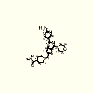 CN(C)C(=O)C1CCN(Cc2cc3nc(-c4cnc(N)nc4)nc(N4CCOCC4)c3s2)CC1